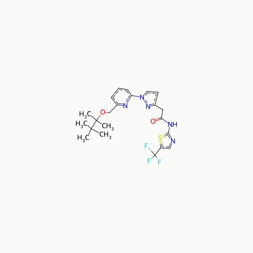 CC(C)(C)C(C)(C)OCc1cccc(-n2ccc(CC(=O)Nc3ncc(C(F)(F)F)s3)n2)n1